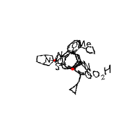 COc1cc(C(=O)O)cc2sc(N3C4CCC3CC(OCc3c(-c5c(Cl)cccc5Cl)noc3C3CC3)C4)nc12